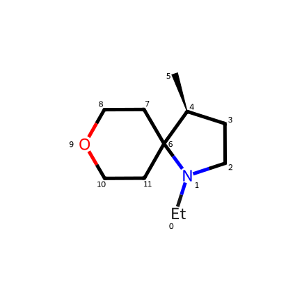 CCN1CC[C@H](C)C12CCOCC2